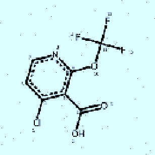 O=C(O)c1c(Cl)ccnc1OC(F)(F)F